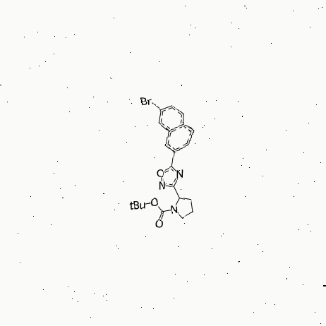 CC(C)(C)OC(=O)N1CCCC1c1noc(-c2ccc3ccc(Br)cc3c2)n1